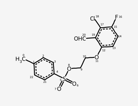 Cc1ccc(S(=O)(=O)OCCOc2ccc(F)c(Cl)c2C=O)cc1